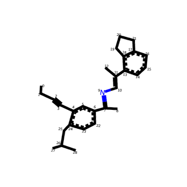 CCC#Cc1cc(/C(C)=N/C=C(\C)c2cccc3c2CCC3)ccc1CC(C)C